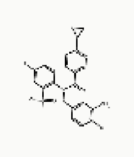 CS(=O)(=O)c1cc(F)ccc1N(Cc1ccc(Br)c(N)c1)C(=O)c1ccc(C2CC2)nc1